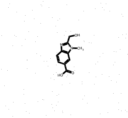 Cn1c(CO)nc2ccc(C(=O)O)cc21